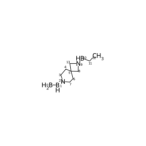 BBN1CCC2(CC1)CN(BCC)C2